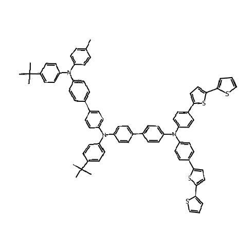 Cc1ccc(N(c2ccc(-c3ccc(N(c4ccc(-c5ccc(N(c6ccc(-c7ccc(-c8cccs8)s7)cc6)c6ccc(-c7ccc(-c8cccs8)s7)cc6)cc5)cc4)c4ccc(C(C)(C)C)cc4)cc3)cc2)c2ccc(C(C)(C)C)cc2)cc1